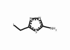 Nc1nnc(CI)s1